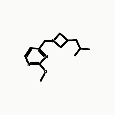 COc1nccc(CN2CC(CC(C)C)C2)n1